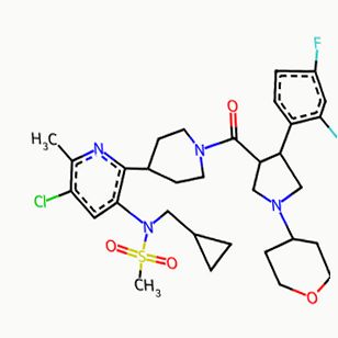 Cc1nc(C2CCN(C(=O)C3CN(C4CCOCC4)CC3c3ccc(F)cc3F)CC2)c(N(CC2CC2)S(C)(=O)=O)cc1Cl